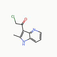 Cc1[nH]c2cccnc2c1C(=O)CCl